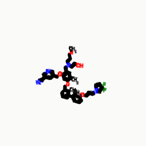 COCCCN(CCO)Cc1cc(C)c(OCc2cccc(-c3cccc(OCCCN4CCC(F)(F)C4)c3C)c2C)cc1OCc1cncc(C#N)c1